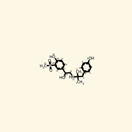 CC(C)(Cc1ccc(O)cc1)NCC(O)c1ccc(O)c(S(C)(=O)=O)c1